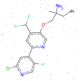 CC(C)CC(C)(N)COc1cnc(-c2cc(Cl)ncc2F)cc1C(F)F